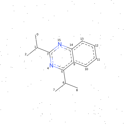 CC(C)c1nc(C(C)C)c2ccccc2n1